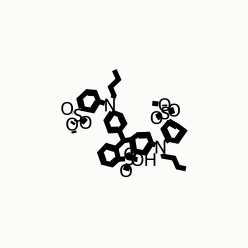 CCCCN(c1ccc(C(c2ccc(N(CCCC)c3cccc(S(=O)(=O)OC)c3)cc2)c2ccccc2S(=O)(=O)O)cc1)c1cccc(S(=O)(=O)OC)c1